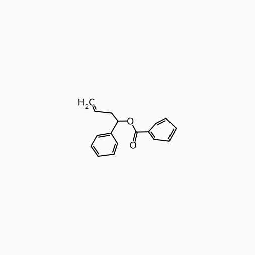 C=CCC(OC(=O)c1ccccc1)c1ccccc1